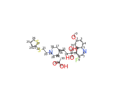 COc1ccc2ncc(F)c(C(O)(O)CC[C@@H]3CCN(CCSc4cccs4)C[C@H]3CC(=O)O)c2c1